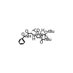 CCCCC(=O)N(CC(=O)N[C@@H](CC(=O)O)C(=O)NC(=O)c1ccccc1)NC(=O)OC(C)(C)C